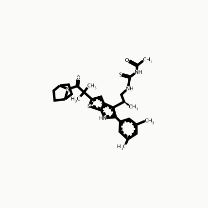 CC(=O)NC(=S)NC[C@@H](C)c1c(-c2cc(C)cc(C)c2)[nH]c2sc(C(C)(C)C(=O)N3C4CCC3CC4)cc12